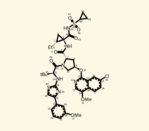 CC[C@@H]1C[C@]1(NC(=O)[C@@H]1C[C@@H](Oc2ncc(OC)c3ccc(Cl)cc23)CN1C(=O)[C@@H](Nc1nc(-c2cccc(OC)c2)cs1)C(C)(C)C)C(=O)NS(=O)(=O)C1CC1